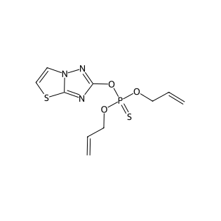 C=CCOP(=S)(OCC=C)Oc1nc2sccn2n1